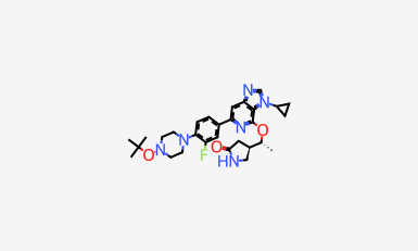 C[C@@H](Oc1nc(-c2ccc(N3CCN(OC(C)(C)C)CC3)c(F)c2)cc2ncn(C3CC3)c12)[C@H]1CNC(=O)C1